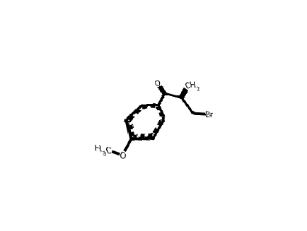 C=C(CBr)C(=O)c1ccc(OC)cc1